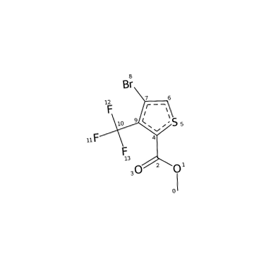 COC(=O)c1scc(Br)c1C(F)(F)F